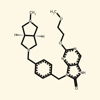 COCCOc1ncc2[nH]c(=O)n(Cc3ccc(CN4C[C@H]5CN(C)C[C@H]5C4)cc3)c2n1